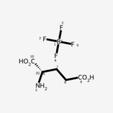 F[B-](F)(F)F.N[C@@H](CCC(=O)O)C(=O)O